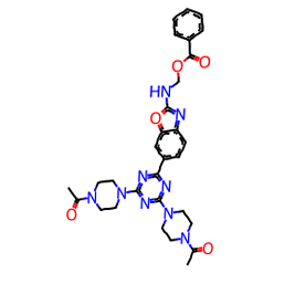 CC(=O)N1CCN(c2nc(-c3ccc4nc(NCOC(=O)c5ccccc5)oc4c3)nc(N3CCN(C(C)=O)CC3)n2)CC1